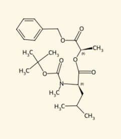 CC(C)C[C@H](C(=O)O[C@H](C)C(=O)OCc1ccccc1)N(C)C(=O)OC(C)(C)C